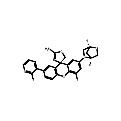 NC1=N[C@@]2(CO1)c1cc(-c3cccnc3F)ccc1Oc1c(F)cc(N3C[C@@H]4C[C@H]3CO4)cc12